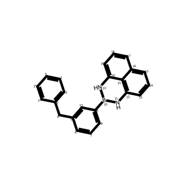 c1ccc(Cc2cccc(B3Nc4cccc5cccc(c45)N3)c2)cc1